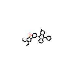 C=Cc1cc2c(cc1/C=C\C)oc1ccc(-c3c4ccccc4c(-c4ccccc4)c4ccc(C)cc34)cc12